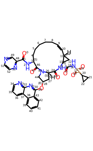 O=C(N[C@H]1CCCCCC=C[C@@H]2C[C@@]2(C(=O)NS(=O)(=O)C2CC2)NC(=O)[C@@H]2C[C@@H](Oc3nc4ncccc4c4ccccc34)CN2C1=O)c1cnccn1